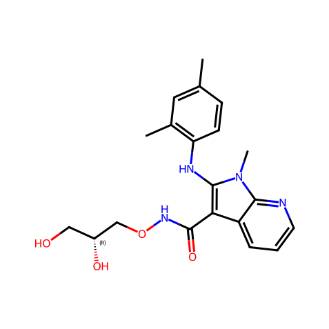 Cc1ccc(Nc2c(C(=O)NOC[C@H](O)CO)c3cccnc3n2C)c(C)c1